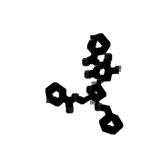 O=C(OC[C@H]1O[C@@H](n2cc(F)c(=O)n(C(=O)c3cccnc3)c2=O)C[C@@H]1OCc1ccccc1)c1cccnc1